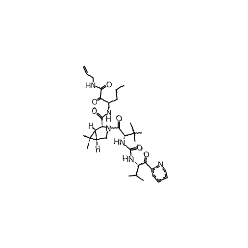 C=CCNC(=O)C(=O)C(CCC)NC(=O)[C@@H]1[C@@H]2[C@H](CN1C(=O)[C@@H](NC(=O)N[C@H](C(=O)c1ccccn1)C(C)C)C(C)(C)C)C2(C)C